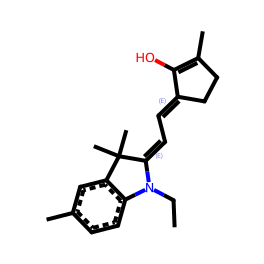 CCN1/C(=C/C=C2\CCC(C)=C2O)C(C)(C)c2cc(C)ccc21